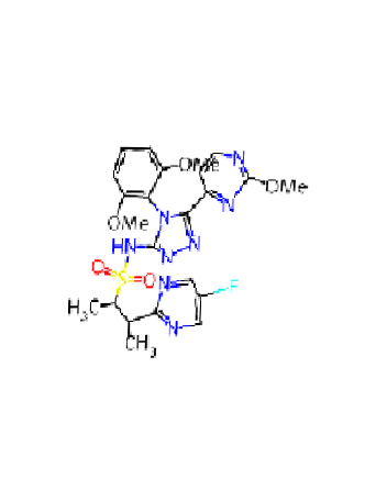 COc1nccc(-c2nnc(NS(=O)(=O)C(C)C(C)c3ncc(F)cn3)n2-c2c(OC)cccc2OC)n1